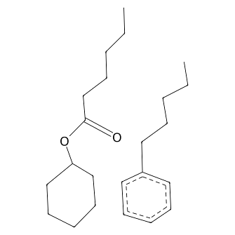 CCCCCC(=O)OC1CCCCC1.CCCCCc1ccccc1